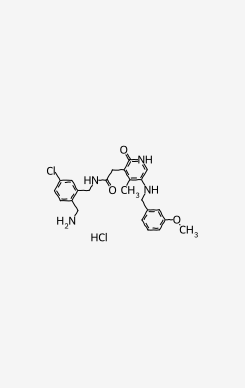 COc1cccc(CNc2c[nH]c(=O)c(CC(=O)NCc3cc(Cl)ccc3CN)c2C)c1.Cl